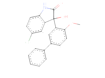 COc1ccc(-c2ccccc2)cc1C1(O)C(=O)Nc2ccc(Cl)cc21